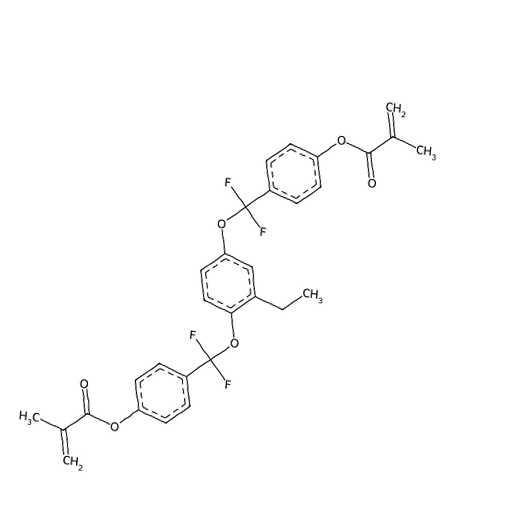 C=C(C)C(=O)Oc1ccc(C(F)(F)Oc2ccc(OC(F)(F)c3ccc(OC(=O)C(=C)C)cc3)c(CC)c2)cc1